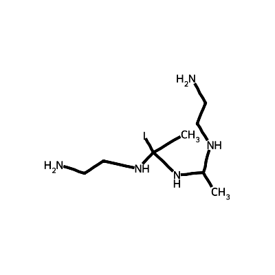 CC(NCCN)NC(C)(I)NCCN